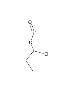 CCC(Cl)O[C]=O